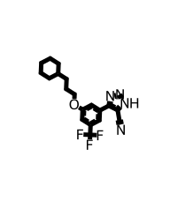 N#Cc1[nH]nnc1-c1cc(OCCCC2CCCCC2)cc(C(F)(F)F)c1